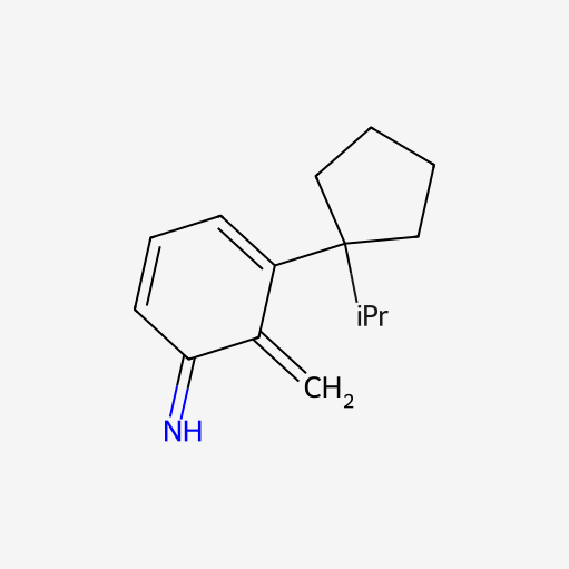 C=C1C(=N)C=CC=C1C1(C(C)C)CCCC1